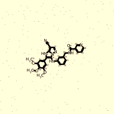 COc1cc(-c2[nH]c3c(C#N)cnn3c2Nc2cccc(CNC(=O)c3cccnc3)c2)cc(OC)c1OC